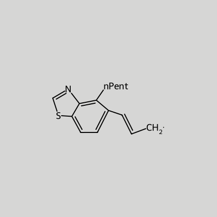 [CH2]/C=C/c1ccc2scnc2c1CCCCC